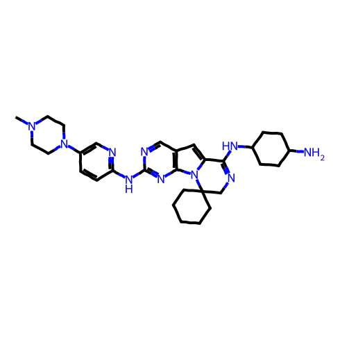 CN1CCN(c2ccc(Nc3ncc4cc5n(c4n3)C3(CCCCC3)CN=C5NC3CCC(N)CC3)nc2)CC1